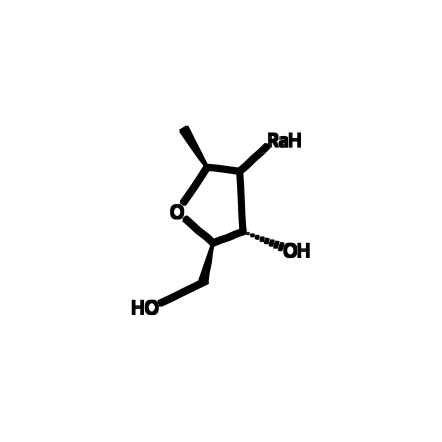 C[C@@H]1O[C@H](CO)[C@@H](O)[CH]1[RaH]